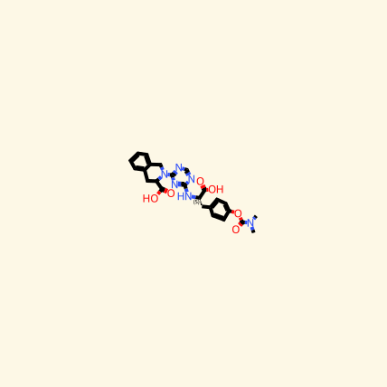 CN(C)C(=O)Oc1ccc(C[C@H](Nc2ncnc(N3Cc4ccccc4CC3C(=O)O)n2)C(=O)O)cc1